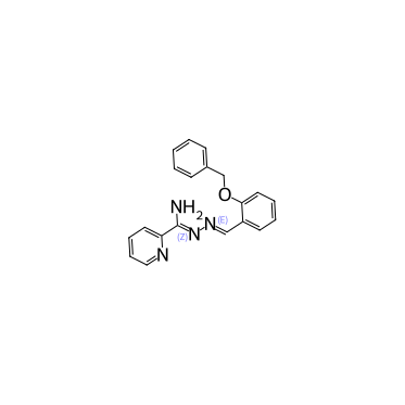 N/C(=N\N=C\c1ccccc1OCc1ccccc1)c1ccccn1